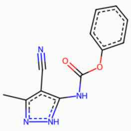 Cc1n[nH]c(NC(=O)Oc2ccccc2)c1C#N